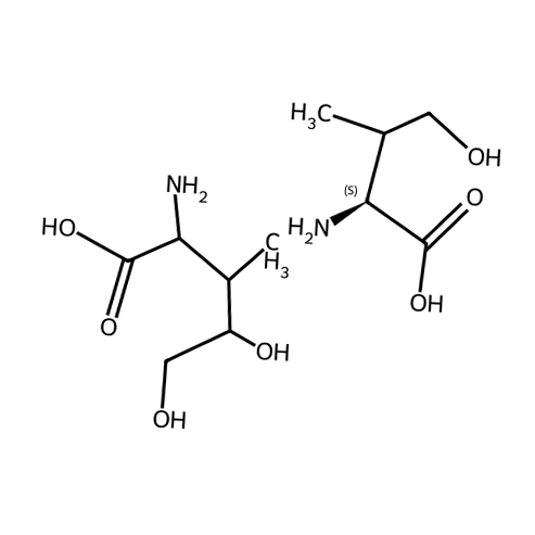 CC(C(O)CO)C(N)C(=O)O.CC(CO)[C@H](N)C(=O)O